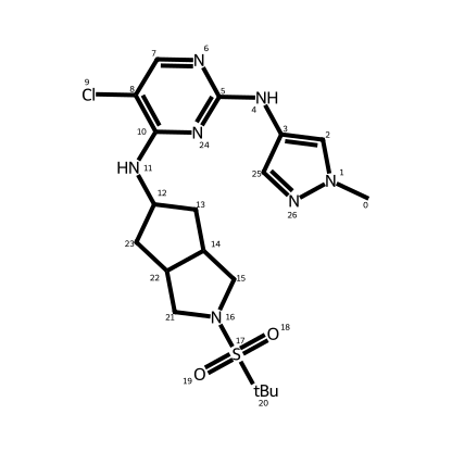 Cn1cc(Nc2ncc(Cl)c(NC3CC4CN(S(=O)(=O)C(C)(C)C)CC4C3)n2)cn1